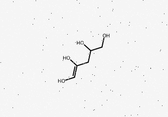 OC=C(O)CC(O)CO